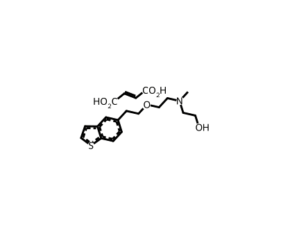 CN(CCO)CCOCCc1ccc2sccc2c1.O=C(O)C=CC(=O)O